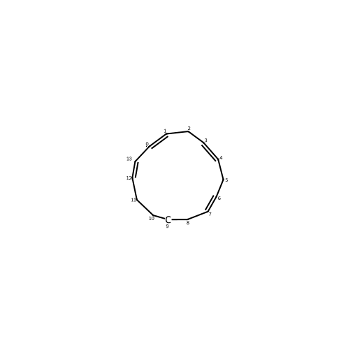 [C]1=CCC=CCC=CCCCCC=C1